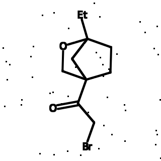 CCC12CCC(C(=O)CBr)(CO1)C2